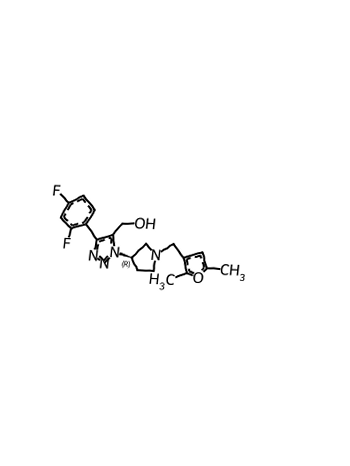 Cc1cc(CN2CC[C@@H](n3nnc(-c4ccc(F)cc4F)c3CO)C2)c(C)o1